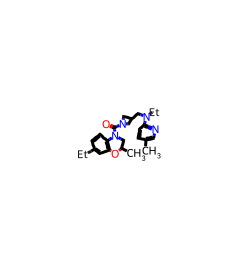 CCc1ccc2c(c1)OC(C)CN2C(=O)N1CC(CN(CC)c2ccc(C)cn2)C1